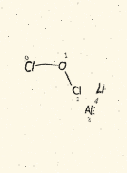 ClOCl.[Al].[Li]